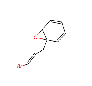 BrC=CCC12C=CC=CC1O2